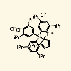 CCCC1=CC=C[C]1([Ti+3])[Si](c1cc(C(C)C)cc(C(C)C)c1)(c1cc(C(C)C)cc(C(C)C)c1)c1cc(C(C)C)cc(C(C)C)c1.[Cl-].[Cl-].[Cl-]